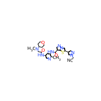 Cc1ncc(NC(=O)CN(C)C2CCOCC2)cc1NC(=O)c1cnn2cc(-c3cnn(CC#N)c3)sc12